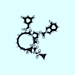 O=C1N[C@]2(C(=O)NS(=O)(=O)C3CC3)C[C@H]2/C=C\CCCCC[C@H](NCc2cc(F)cc(F)c2)C(=O)N2C[C@H](OC(=O)N3Cc4cccc(F)c4C3)C[C@@H]12